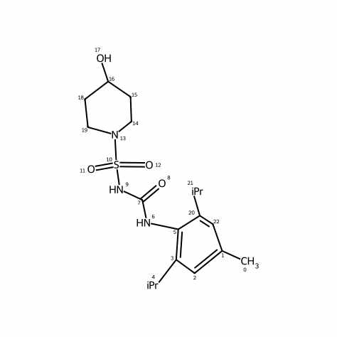 Cc1cc(C(C)C)c(NC(=O)NS(=O)(=O)N2CCC(O)CC2)c(C(C)C)c1